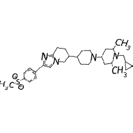 CC1CC(N2CCC(C3CCc4nc(-c5ccc(S(C)(=O)=O)cc5)cn4C3)CC2)CC(C)N1CC1CC1